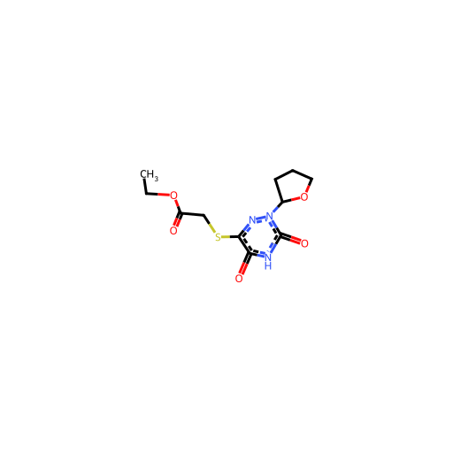 CCOC(=O)CSc1nn(C2CCCO2)c(=O)[nH]c1=O